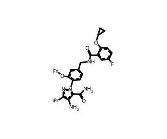 CCOc1cc(CNC(=O)c2cc(F)ccc2OC2CC2)ccc1-n1nc(C(C)C)c(N)c1C(N)=O